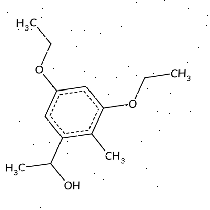 CCOc1cc(OCC)c(C)c(C(C)O)c1